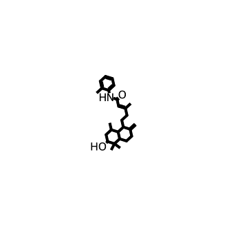 C=C1CCC2C(C(C)CC(O)C2(C)C)C1CCC(C)=CC(=O)Nc1ccccc1C